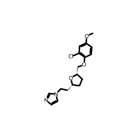 COc1ccc(OC[C@@H]2CC[C@H](CCn3ccnc3)O2)c(Cl)c1